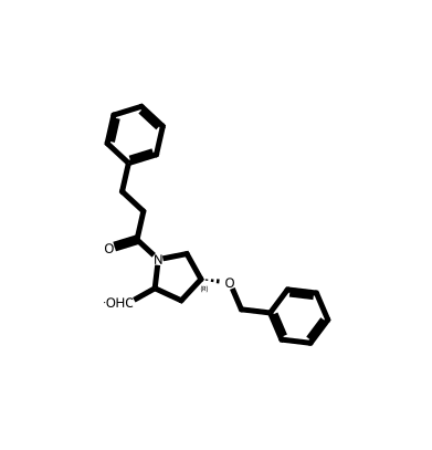 O=[C]C1C[C@@H](OCc2ccccc2)CN1C(=O)CCc1ccccc1